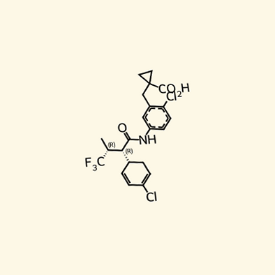 C[C@H]([C@H](C(=O)Nc1ccc(Cl)c(CC2(C(=O)O)CC2)c1)C1C=CC(Cl)=CC1)C(F)(F)F